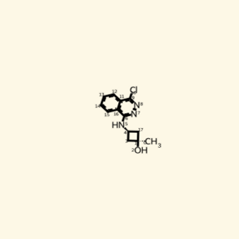 C[C@]1(O)C[C@@H](Nc2nnc(Cl)c3ccccc23)C1